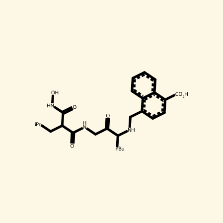 CCCCC(NCc1ccc(C(=O)O)c2ccccc12)C(=O)CNC(=O)C(CC(C)C)C(=O)NO